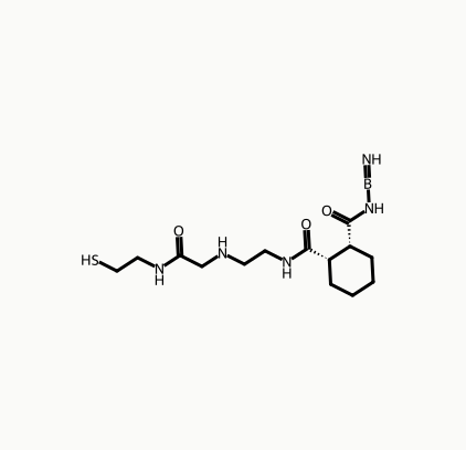 N=BNC(=O)[C@@H]1CCCC[C@@H]1C(=O)NCCNCC(=O)NCCS